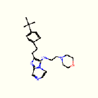 CC(C)(C)c1ccc(CCc2nc3cnccn3c2NCCN2CCOCC2)cc1